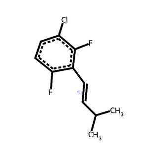 CC(C)/C=C/c1c(F)ccc(Cl)c1F